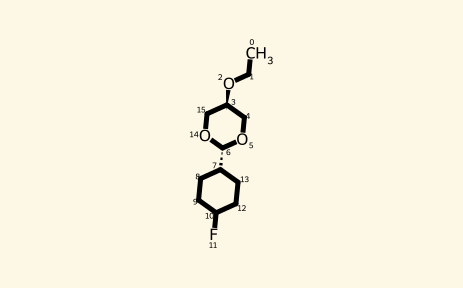 CCO[C@H]1CO[C@H](C2CCC(F)CC2)OC1